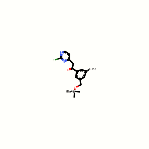 COc1cc(CO[Si](C)(C)C(C)(C)C)cc(C(=O)Cc2ccnc(Cl)n2)c1